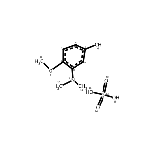 COc1ccc(C)cc1N(C)C.O=S(=O)(O)O